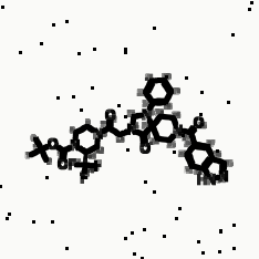 CC(C)(C)OC(=O)N1CCN(C(=O)CN2CN(c3ccccc3)C3(CCN(C(=O)c4ccc5[nH]ncc5c4)CC3)C2=O)C[C@H]1C(F)(F)F